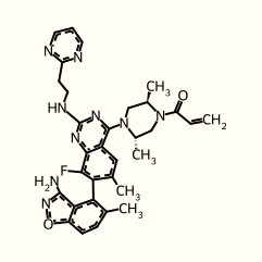 C=CC(=O)N1C[C@H](C)N(c2nc(NCCc3ncccn3)nc3c(F)c(-c4c(C)ccc5onc(N)c45)c(C)cc23)C[C@H]1C